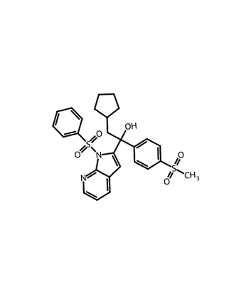 CS(=O)(=O)c1ccc(C(O)(CC2CCCC2)c2cc3cccnc3n2S(=O)(=O)c2ccccc2)cc1